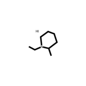 CCN1CCCCC1C.I